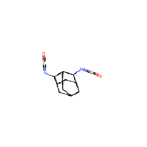 O=C=NC1C2CC3CC(C2)C(N=C=O)C1C3